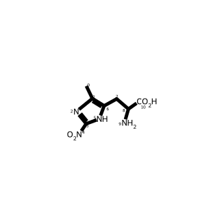 Cc1nc([N+](=O)[O-])[nH]c1CC(N)C(=O)O